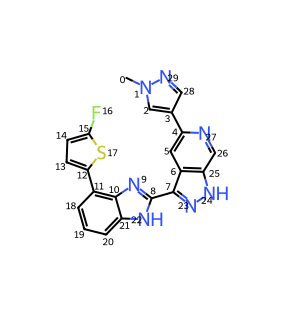 Cn1cc(-c2cc3c(-c4nc5c(-c6ccc(F)s6)cccc5[nH]4)n[nH]c3cn2)cn1